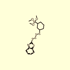 CO[Si](OC)(OC)C1CCCC(SSSSc2nc3ccccc3s2)C1